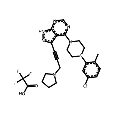 Cc1ccc(Cl)cc1N1CCN(c2ncnc3[nH]nc(C#CCN4CCCC4)c23)CC1.O=C(O)C(F)(F)F